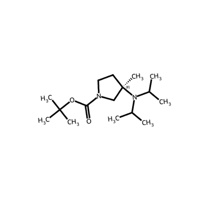 CC(C)N(C(C)C)[C@]1(C)CCN(C(=O)OC(C)(C)C)C1